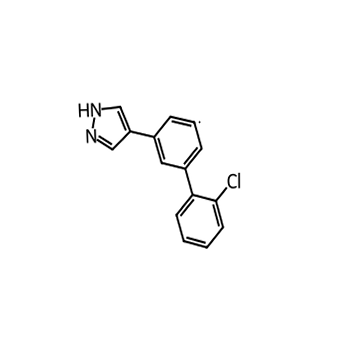 Clc1ccccc1-c1c[c]cc(-c2cn[nH]c2)c1